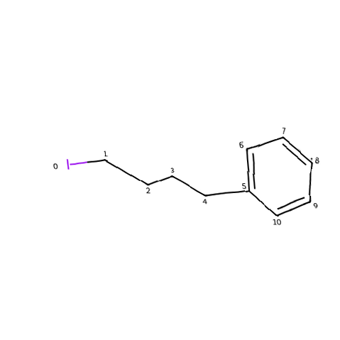 ICCCCc1cc[c]cc1